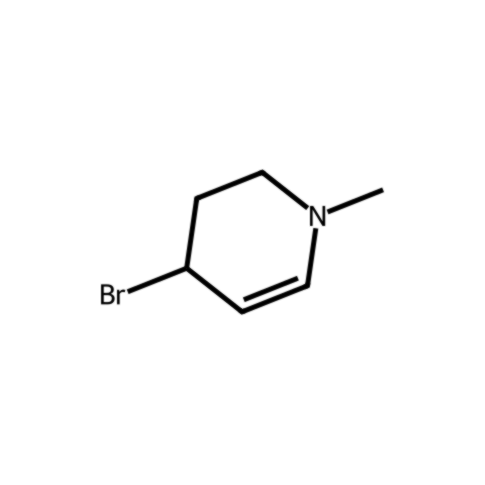 CN1C=CC(Br)CC1